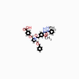 COc1cc(CC(=O)N2[C@H](COCc3ccccc3)CC[C@H]2COc2ccc(C(=O)O)cc2)ccc1NC(=O)Nc1ccccc1C